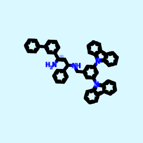 N/C(=C\C(NCc1cc(-n2c3ccccc3c3ccccc32)cc(-n2c3ccccc3c3ccccc32)c1)c1ccccc1)c1cccc(-c2ccccc2)c1